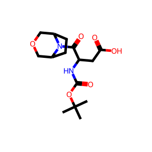 CC(C)(C)OC(=O)NC(CC(=O)O)C(=O)N1C2CCC1COC2